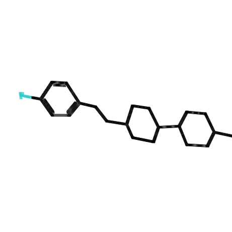 CCC1CCC(C2CCC(CCc3ccc(F)cc3)CC2)CC1